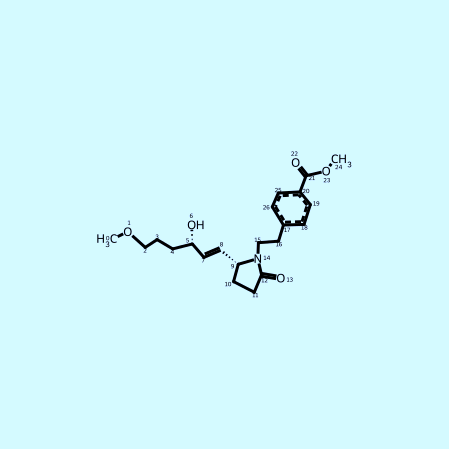 COCCC[C@H](O)/C=C/[C@H]1CCC(=O)N1CCc1ccc(C(=O)OC)cc1